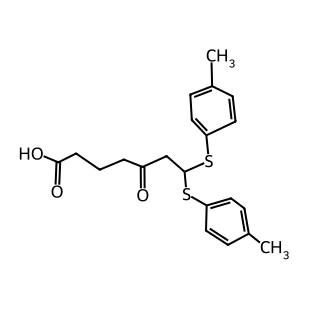 Cc1ccc(SC(CC(=O)CCCC(=O)O)Sc2ccc(C)cc2)cc1